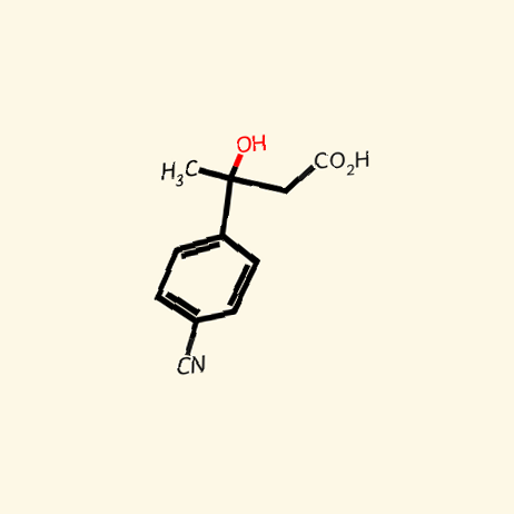 CC(O)(CC(=O)O)c1ccc(C#N)cc1